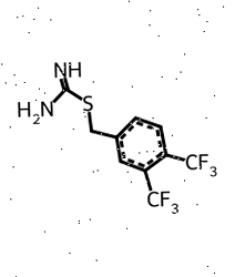 N=C(N)SCc1ccc(C(F)(F)F)c(C(F)(F)F)c1